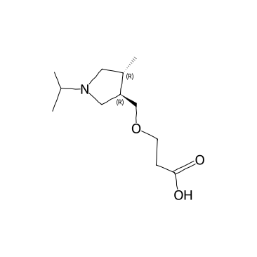 CC(C)N1C[C@H](COCCC(=O)O)[C@@H](C)C1